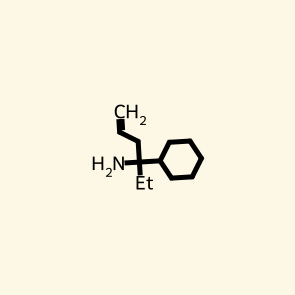 C=CCC(N)(CC)C1CCCCC1